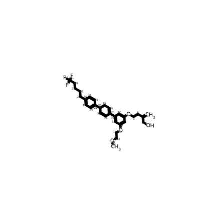 C=C(CO)CCOc1cc(OCCOC)cc(C2=CCC(c3ccc(CCCCC(F)(F)F)cc3)C=C2)c1